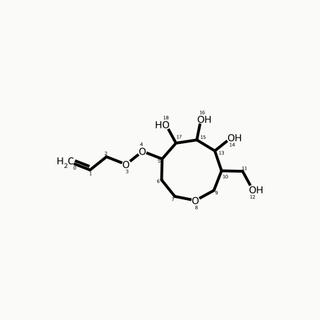 C=CCOOC1CCOCC(CO)C(O)C(O)C1O